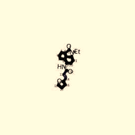 CCN1C(=O)c2cccc3c(NC(=O)/C=C/c4ccco4)ccc1c23